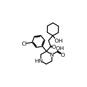 O=C(O)N1CCNCC1(C(=O)CC1(O)CCCCC1)c1cccc(Cl)c1